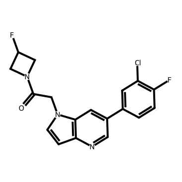 O=C(Cn1ccc2ncc(-c3ccc(F)c(Cl)c3)cc21)N1CC(F)C1